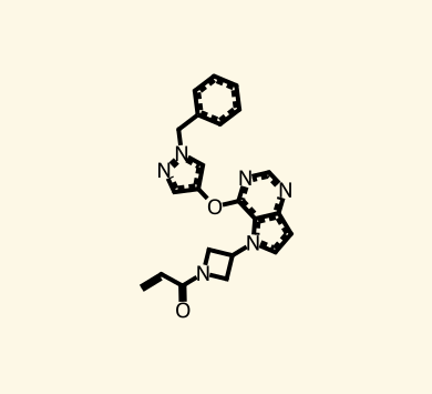 C=CC(=O)N1CC(n2ccc3ncnc(Oc4cnn(Cc5ccccc5)c4)c32)C1